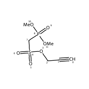 C#CCOS(=O)(=O)CP(=O)(OC)OC